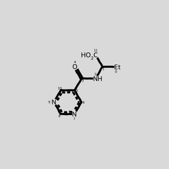 CCC(NC(=O)c1cncnc1)C(=O)O